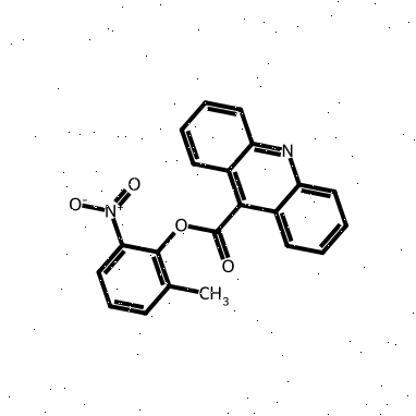 Cc1cccc([N+](=O)[O-])c1OC(=O)c1c2ccccc2nc2ccccc12